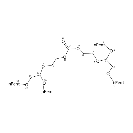 CCCCCOCC(OCCCCC)OCCOC(=O)OCCOC(COCCCCC)OCCCCC